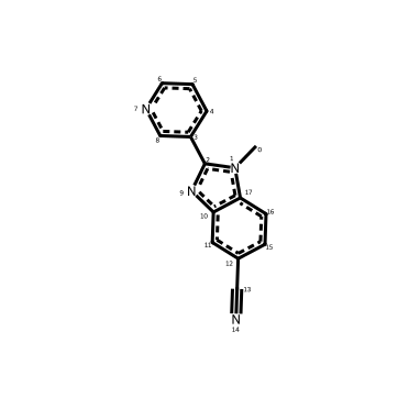 Cn1c(-c2cccnc2)nc2cc(C#N)ccc21